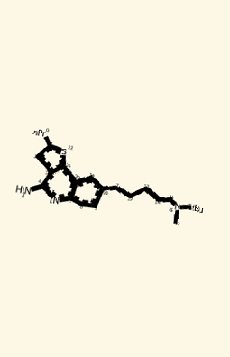 CCCc1cc2c(N)nc3ccc(CCCCCN(C)C(C)(C)C)cc3c2s1